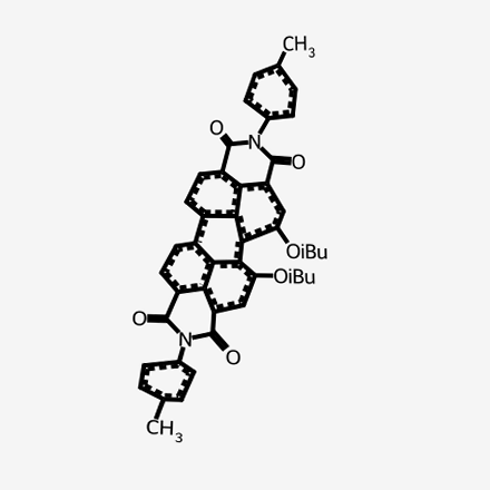 Cc1ccc(N2C(=O)c3ccc4c5ccc6c7c(cc(OCC(C)C)c(c8c(OCC(C)C)cc(c3c48)C2=O)c75)C(=O)N(c2ccc(C)cc2)C6=O)cc1